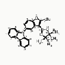 CC(C)(C)c1oc2ccc(-n3c4ccccc4c4ccccc43)cc2c1B1OC(C)(C)C(C)(C)O1